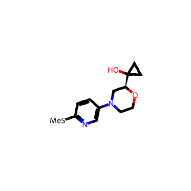 CSc1ccc(N2CCO[C@H](C3(O)CC3)C2)cn1